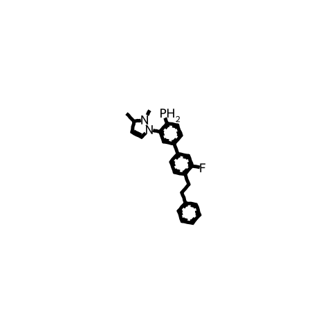 CC1C=CN(c2cc(-c3ccc(CCc4ccccc4)c(F)c3)ccc2P)N1C